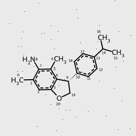 Cc1cc2c(c(C)c1N)[C@H](c1ccc(C(C)C)cc1)CO2